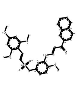 COc1cc(OC)c(C=CS(=O)(=O)Cc2ccc(OC)c(NC=CC(=O)c3ccc4ccccc4c3)n2)c(OC)c1